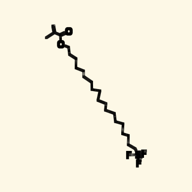 C=C(C)C(=O)OCCCCCCCCCCCCCCCCCCC[Si](F)(F)F